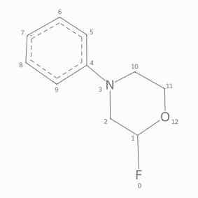 FC1CN(c2cc[c]cc2)CCO1